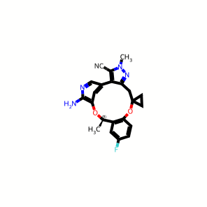 C[C@H]1Oc2cc(cnc2N)-c2c(nn(C)c2C#N)CC2(CC2)Oc2ccc(F)cc21